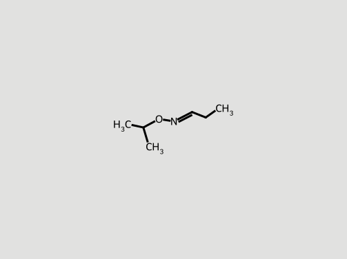 CCC=NOC(C)C